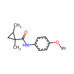 CC(C)Oc1ccc(NC(=O)C2(C)CC2C)cc1